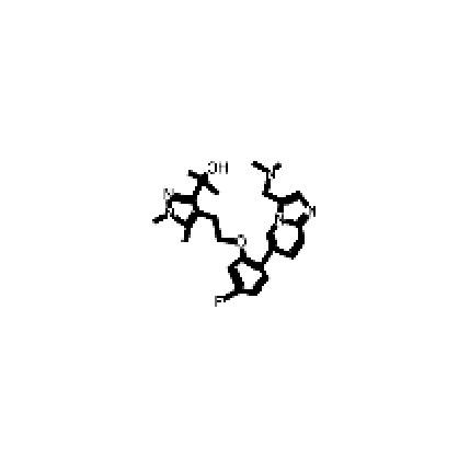 Cc1c(CCOc2cc(F)ccc2-c2ccc3ncc(CN(C)C)n3c2)c(C(C)(C)O)nn1C